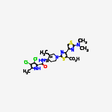 Cc1[nH]c(C(=O)N[C@@H]2CCN(c3nc(-c4csc(N(C)C)n4)c(C(=O)O)s3)C[C@@H]2C)c(Cl)c1Cl